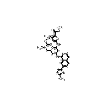 Cc1nc(-c2ccc3ccnc(N[C@@H](CCCN(C)C(=O)OC(C)(C)C)CC(=O)Nc4nc(C)c(C(=O)OC(C)(C)C)s4)c3c2)no1